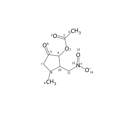 CC(=O)OC1C(=O)CC(C)C1C[N+](=O)[O-]